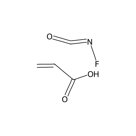 C=CC(=O)O.O=C=NF